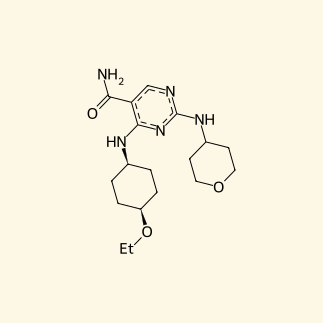 CCO[C@H]1CC[C@@H](Nc2nc(NC3CCOCC3)ncc2C(N)=O)CC1